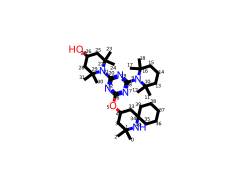 CC1(C)CC(Oc2nc(N3C(C)(C)CCCC3(C)C)nc(N3C(C)(C)CC(O)CC3(C)C)n2)CC2(CCCCC2)N1